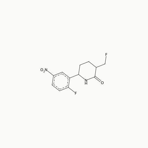 O=C1NC(c2cc([N+](=O)[O-])ccc2F)CCC1CF